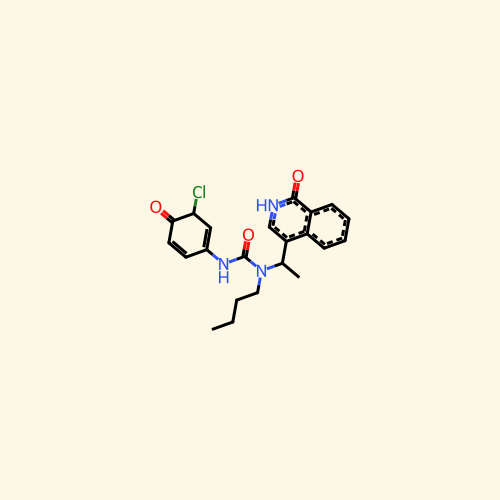 CCCCN(C(=O)NC1=CC(Cl)C(=O)C=C1)C(C)c1c[nH]c(=O)c2ccccc12